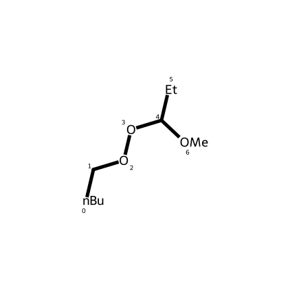 CCCCCOOC(CC)OC